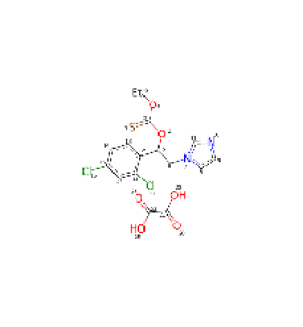 CCOC(=S)OC(Cn1ccnc1)c1ccc(Cl)cc1Cl.O=C(O)C(=O)O